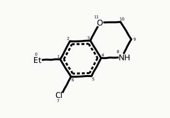 CCc1cc2c(cc1Cl)NCCO2